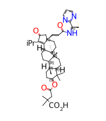 CC(C)C1=C2[C@H]3CC[C@@H]4[C@@]5(C)CC[C@H](OC(=O)CC(C)(C)C(=O)O)C(C)(C)[C@@H]5CC[C@@]4(C)[C@]3(C)CC[C@@]2(C=CC(=O)N[C@H](C)c2ncccn2)CC1=O